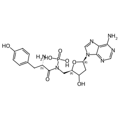 Nc1ncnc2c1ncn2[C@H]1CC(O)[C@@H](CN(C(=O)[C@@H](N)Cc2ccc(O)cc2)P(=O)(O)O)O1